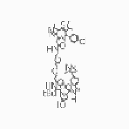 CC1=NN=C2C1c1sc(C)c(C)c1C(c1ccc(Cl)cc1)=N[C@H]2CC(=O)NCCOCCOCCC(=O)NC(C(=O)N1C[C@H](O)CC1C(=O)N[C@@H](C)c1ccc(-c2scnc2C)cc1)C(C)(C)C